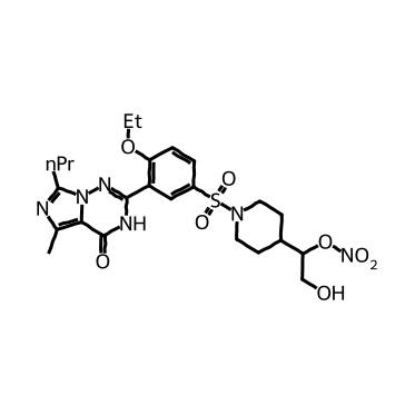 CCCc1nc(C)c2c(=O)[nH]c(-c3cc(S(=O)(=O)N4CCC(C(CO)O[N+](=O)[O-])CC4)ccc3OCC)nn12